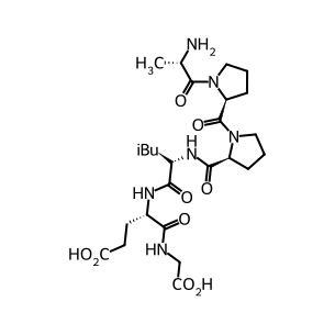 CC[C@H](C)[C@H](NC(=O)[C@@H]1CCCN1C(=O)[C@@H]1CCCN1C(=O)[C@H](C)N)C(=O)N[C@@H](CCC(=O)O)C(=O)NCC(=O)O